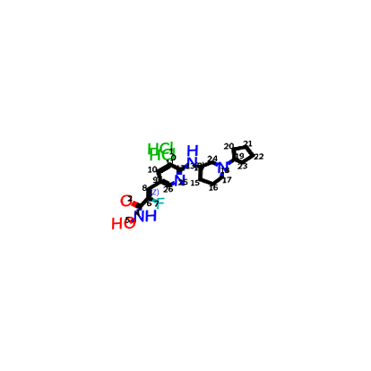 Cl.Cl.O=C(NO)/C(F)=C/c1ccc(N[C@@H]2CCCN(C3CCCC3)C2)nc1